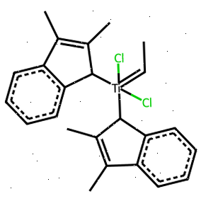 C[CH]=[Ti]([Cl])([Cl])([CH]1C(C)=C(C)c2ccccc21)[CH]1C(C)=C(C)c2ccccc21